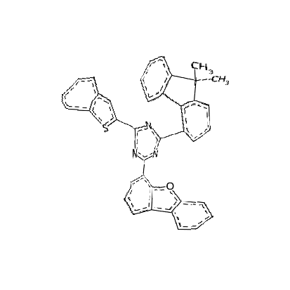 CC1(C)c2ccccc2-c2c(-c3nc(-c4cc5ccccc5s4)nc(-c4cccc5c4oc4ccccc45)n3)cccc21